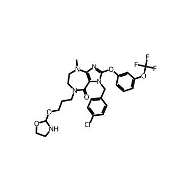 CN1CCN(CCCOC2NCCO2)C(=O)c2c1nc(Oc1cccc(OC(F)(F)F)c1)n2Cc1ccc(Cl)cc1